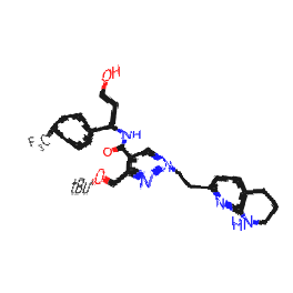 CC(C)(C)OCc1nn(CCc2ccc3c(n2)NCCC3)cc1C(=O)NC(CCO)c1ccc(C(F)(F)F)cc1